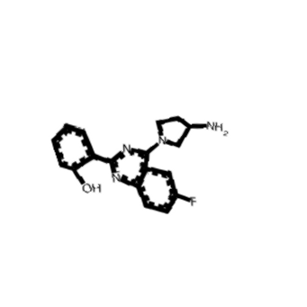 NC1CCN(c2nc(-c3ccccc3O)nc3ccc(F)cc23)C1